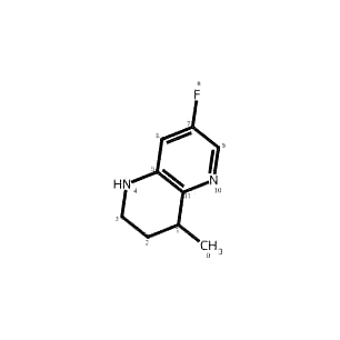 CC1CCNc2cc(F)cnc21